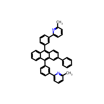 Cc1cccc(-c2cccc(-c3c4ccccc4c(-c4cccc(-c5cccc(C)n5)c4)c4cc(-c5ccccc5)ccc34)c2)n1